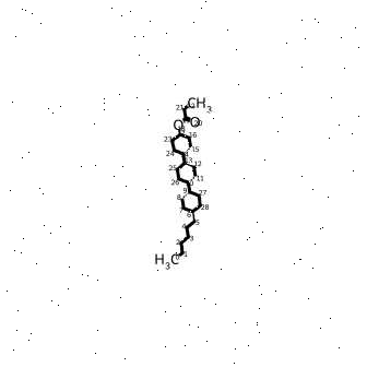 CCCCCC[C@H]1CC[C@H]([C@H]2CC[C@H]([C@H]3CC[C@H](OC(=O)CC)CC3)CC2)CC1